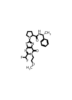 COCCn1c(C(F)F)nc2sc(N3CCCC3C(=O)N[C@H](C)c3ccccc3)nc2c1=O